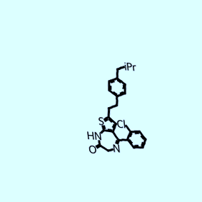 CC(C)Cc1ccc(CCc2cc3c(s2)NC(=O)CN=C3c2ccccc2Cl)cc1